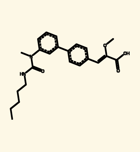 CCCCCNC(=O)N(C)c1cccc(-c2ccc(/C=C(\OC)C(=O)O)cc2)c1